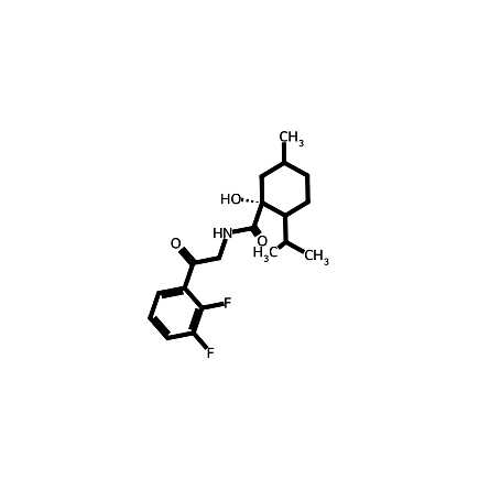 CC1CCC(C(C)C)[C@@](O)(C(=O)NCC(=O)c2cccc(F)c2F)C1